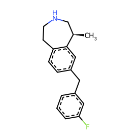 C[C@@H]1CNCCc2ccc(Cc3cccc(F)c3)cc21